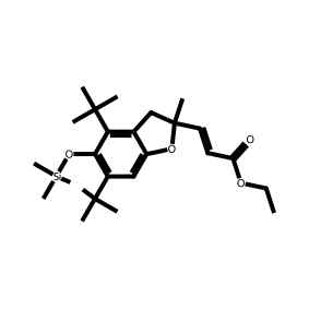 CCOC(=O)C=CC1(C)Cc2c(cc(C(C)(C)C)c(O[Si](C)(C)C)c2C(C)(C)C)O1